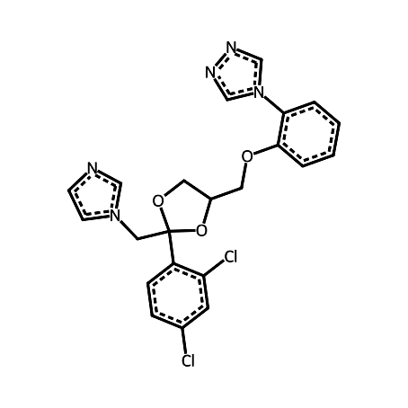 Clc1ccc(C2(Cn3ccnc3)OCC(COc3ccccc3-n3cnnc3)O2)c(Cl)c1